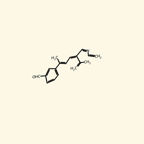 C=C\N=C/C(=C/C=C(\C)c1cccc(C=O)c1)C(=C)C